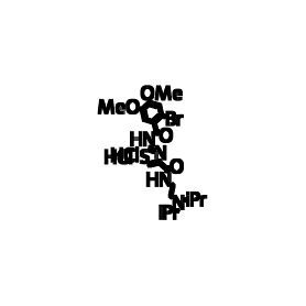 COc1cc(Br)c(C(=O)Nc2nc(C(=O)NCCN(C(C)C)C(C)C)cs2)cc1OC.Cl.Cl